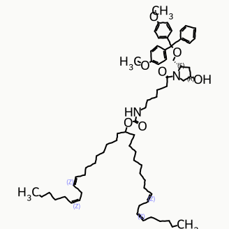 CCCCC/C=C\C/C=C\CCCCCCCCC(CCCCCCCC/C=C\C/C=C\CCCCC)OC(=O)NCCCCCC(=O)N1C[C@H](O)C[C@H]1COC(c1ccccc1)(c1ccc(OC)cc1)c1ccc(OC)cc1